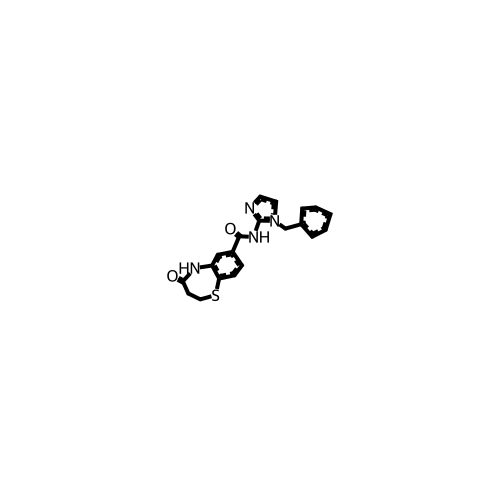 O=C1CCSc2ccc(C(=O)Nc3nccn3Cc3ccccc3)cc2N1